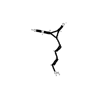 C/C=C/C=C/C1C(=O)C1=C=O